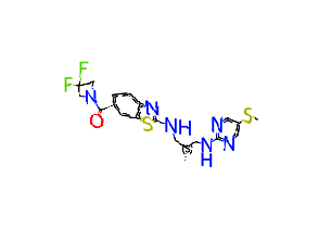 CSc1cnc(NC[C@H](C)CNc2nc3ccc(C(=O)N4CC(F)(F)C4)cc3s2)nc1